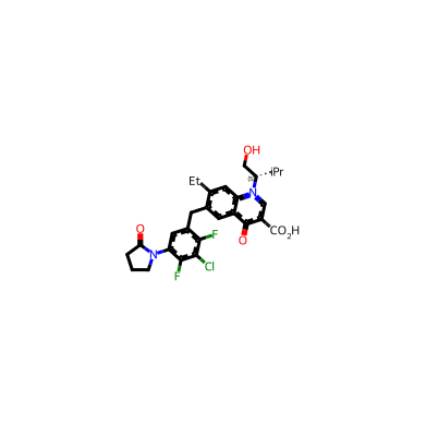 CCc1cc2c(cc1Cc1cc(N3CCCC3=O)c(F)c(Cl)c1F)c(=O)c(C(=O)O)cn2[C@H](CO)C(C)C